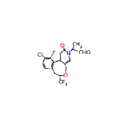 CC(C=O)n1cc2c(cc1=O)-c1c(ccc(Cl)c1F)CC(C(F)(F)F)OC2